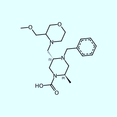 COCC1COCCN1C[C@H]1CN(C(=O)O)[C@H](C)CN1Cc1ccccc1